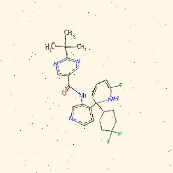 CC(C)(C)c1ncc(C(=O)Nc2cnccc2C2(C3CCC(F)(F)CC3)C=CC=C(F)N2)cn1